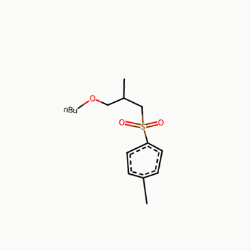 CCCCOCC(C)CS(=O)(=O)c1ccc(C)cc1